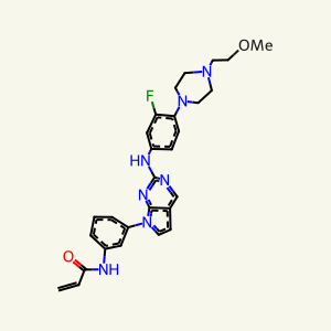 C=CC(=O)Nc1cccc(-n2ccc3cnc(Nc4ccc(N5CCN(CCOC)CC5)c(F)c4)nc32)c1